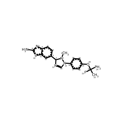 CN1C(c2ccc3nc(N)sc3c2)N=CN1c1ccc(OC(C)(F)P)cc1